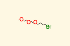 COCCOCCOCCCCBr